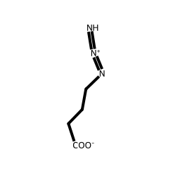 N=[N+]=NCCCC(=O)[O-]